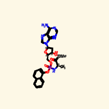 COC(=O)[C@H](C)NP(=O)(OC[C@H]1O[C@@H](n2cnc3c(N)ncnc32)C[C@H]1O)Oc1cccc2ccccc12